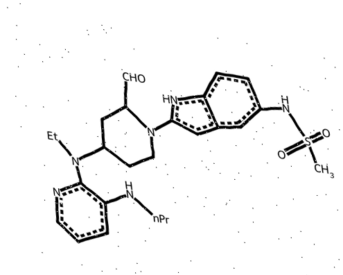 CCCNc1cccnc1N(CC)C1CCN(c2cc3cc(NS(C)(=O)=O)ccc3[nH]2)C(C=O)C1